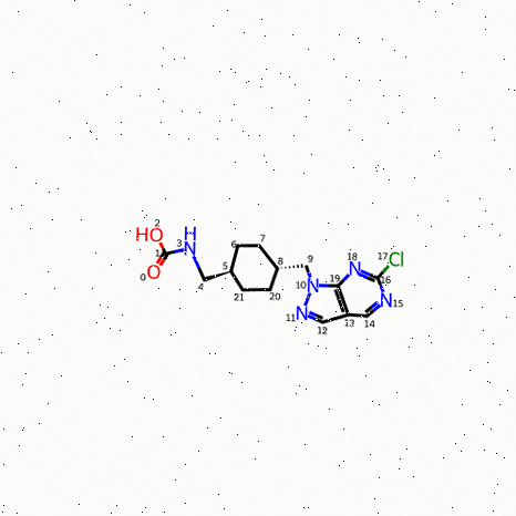 O=C(O)NC[C@H]1CC[C@H](Cn2ncc3cnc(Cl)nc32)CC1